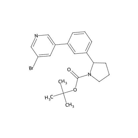 CC(C)(C)OC(=O)N1CCCC1c1cccc(-c2cncc(Br)c2)c1